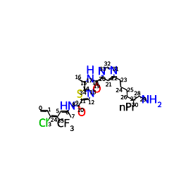 C=C/C(Cl)=C(\C=C(/C)NC(=O)c1cnc(C(C)NC(=O)c2cc(CCCCC(CN)CCC)ncn2)s1)C(F)(F)F